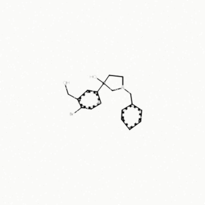 OCc1cc(C2(O)CCN(Cc3ccccc3)C2)ccc1Br